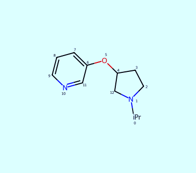 CC(C)N1CCC(Oc2cccnc2)C1